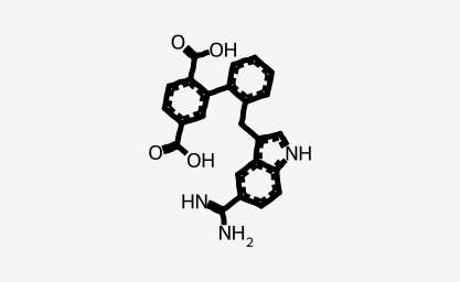 N=C(N)c1ccc2[nH]cc(Cc3ccccc3-c3cc(C(=O)O)ccc3C(=O)O)c2c1